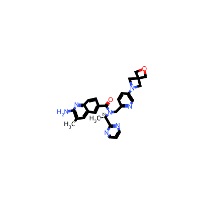 Cc1cc2cc(C(=O)N(Cc3ccc(N4CC5(COC5)C4)cn3)[C@@H](C)c3ncccn3)ccc2nc1N